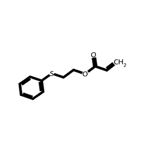 C=CC(=O)OCCSc1ccccc1